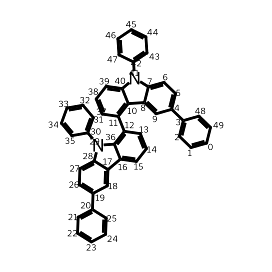 c1ccc(-c2ccc3c(c2)c2c(-c4cccc5c6cc(-c7ccccc7)ccc6n(-c6ccccc6)c45)cccc2n3-c2ccccc2)cc1